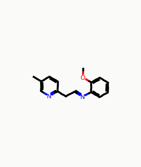 COc1ccccc1N=CCc1ccc(C)cn1